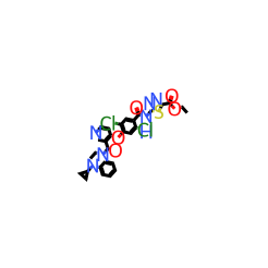 CCOC(=O)c1nnc(NC(=O)c2cc(Cl)c(Oc3ccncc3C(=O)N3CCN(C4CC4)c4ccccc43)cc2Cl)s1